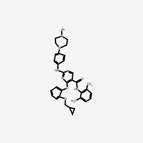 Cc1cccc(C)c1NC(=O)c1cnc(Nc2ccc(N3CCN(C(C)C)CC3)cc2)nc1Oc1ccccc1OCC1CC1